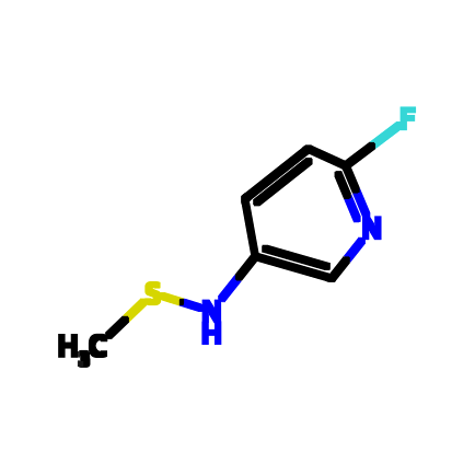 CSNc1ccc(F)nc1